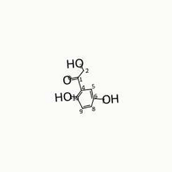 O=C(CO)c1cc(O)ccc1O